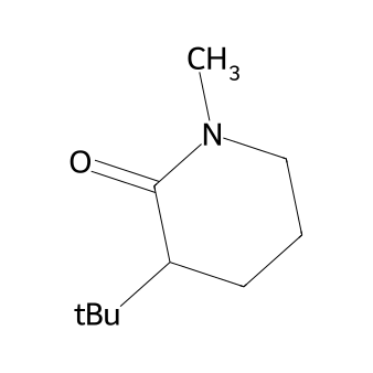 CN1CCCC(C(C)(C)C)C1=O